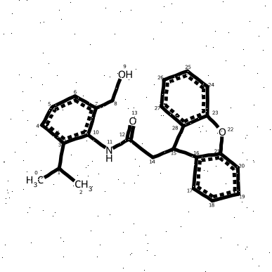 CC(C)c1cccc(CO)c1NC(=O)CC1c2ccccc2Oc2ccccc21